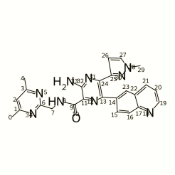 Cc1cc(C)nc(CNC(=O)c2nc(-c3ccc4ncccc4c3)c(-c3ccn(C)n3)nc2N)n1